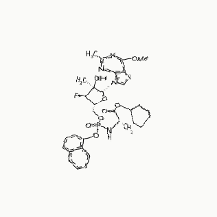 COc1nc(C)nc2c1ncn2[C@@H]1O[C@H](COP(=O)(N[C@@H](C)C(=O)OC2CCCCC2)Oc2cccc3ccccc23)[C@@H](F)[C@@]1(C)O